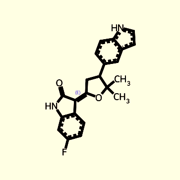 CC1(C)O/C(=C2/C(=O)Nc3cc(F)ccc32)CC1c1ccc2[nH]ccc2c1